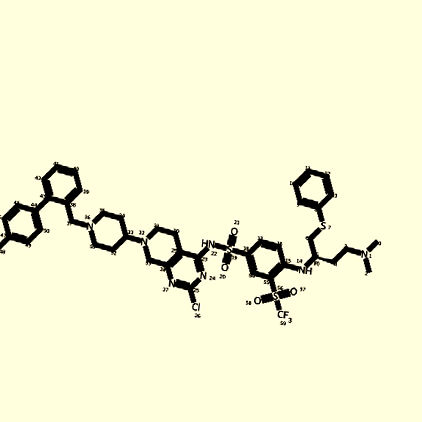 CN(C)CC[C@H](CSc1ccccc1)Nc1ccc(S(=O)(=O)Nc2nc(Cl)nc3c2CCN(C2CCN(Cc4ccccc4-c4ccc(Cl)cc4)CC2)C3)cc1S(=O)(=O)C(F)(F)F